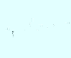 CC(C)(C)C(=O)OCC(O)CNCCCS